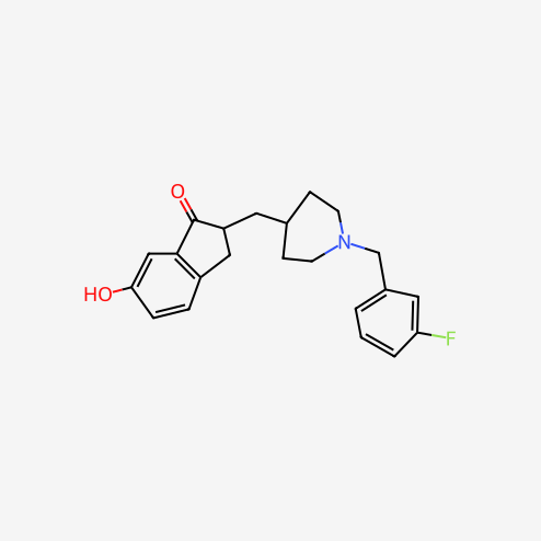 O=C1c2cc(O)ccc2CC1CC1CCN(Cc2cccc(F)c2)CC1